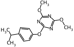 COc1nc(OC)nc(Oc2ccc(C(C)C)cc2)n1